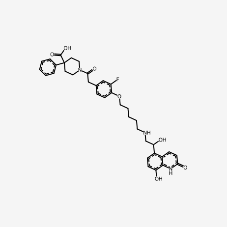 O=C(Cc1ccc(OCCCCCNCC(O)c2ccc(O)c3[nH]c(=O)ccc23)c(F)c1)N1CCC(C(=O)O)(c2ccccc2)CC1